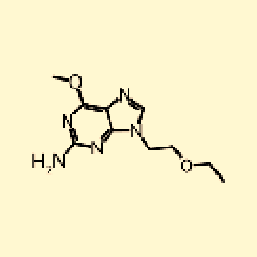 CCOCCn1cnc2c(OC)nc(N)nc21